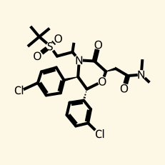 CC(CS(=O)(=O)C(C)(C)C)N1C(=O)[C@@H](CC(=O)N(C)C)O[C@H](c2cccc(Cl)c2)[C@H]1c1ccc(Cl)cc1